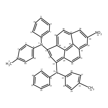 Cc1ccc(N(c2ccccc2)c2cc(N(c3ccccc3)c3ccc(C)cc3)c3ccc4cc([N+](=O)[O-])cc5ccc2c3c54)cc1